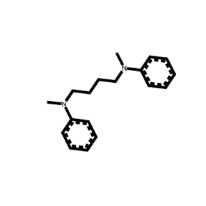 CN(CCCCN(C)c1ccccc1)c1ccccc1